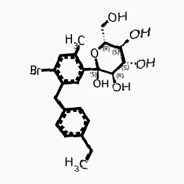 CCc1ccc(Cc2cc([C@]3(O)O[C@H](CO)[C@@H](O)[C@H](O)[C@H]3O)c(C)cc2Br)cc1